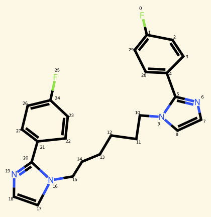 Fc1ccc(-c2nccn2CCCCCCn2ccnc2-c2ccc(F)cc2)cc1